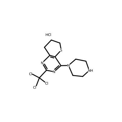 Cl.ClC(Cl)(Cl)c1nc2c(c(N3CCNCC3)n1)SCCC2